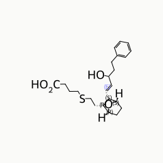 O=C(O)CCCSCC[C@@H]1[C@H](/C=C/C(O)CCc2ccccc2)[C@@H]2CC[C@H]1O2